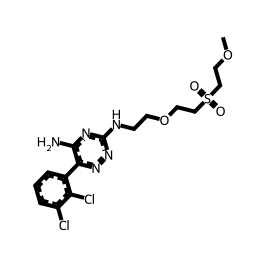 COCCS(=O)(=O)CCOCCNc1nnc(-c2cccc(Cl)c2Cl)c(N)n1